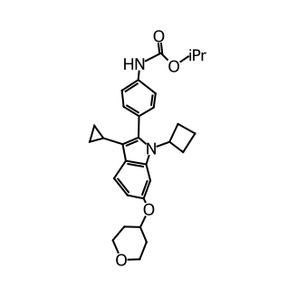 CC(C)OC(=O)Nc1ccc(-c2c(C3CC3)c3ccc(OC4CCOCC4)cc3n2C2CCC2)cc1